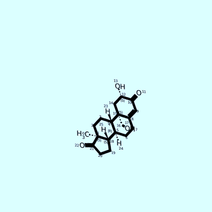 C[C@]12CC[C@H]3[C@@H](CCC4=CC(=O)[C@@H](O)C[C@@]43CO)[C@@H]1CCC2=O